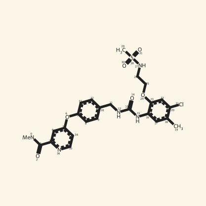 CNC(=O)c1cc(Oc2ccc(CNC(=O)Nc3cc(C)c(Cl)cc3OCCNS(C)(=O)=O)cc2)ccn1